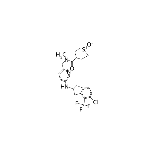 CN(Cc1ccc(NC2Cc3ccc(Cl)c(C(F)(F)F)c3C2)cn1)C(=O)C1CC[S+]([O-])CC1